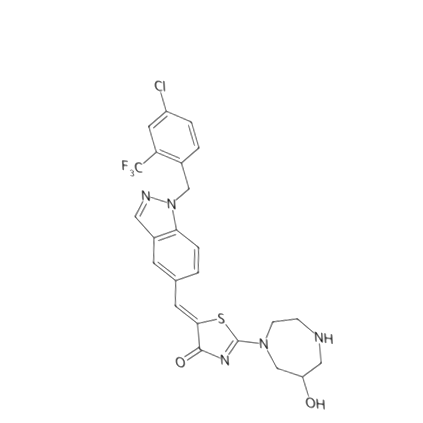 O=C1N=C(N2CCNCC(O)C2)S/C1=C\c1ccc2c(cnn2Cc2ccc(Cl)cc2C(F)(F)F)c1